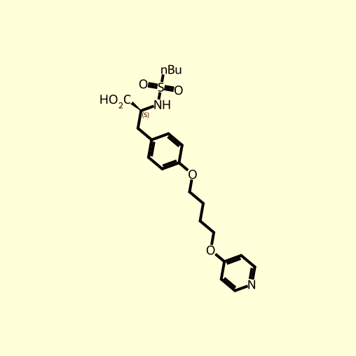 CCCCS(=O)(=O)N[C@@H](Cc1ccc(OCCCCOc2ccncc2)cc1)C(=O)O